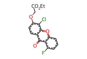 CCOC(=O)COc1ccc2c(=O)c3c(F)cccc3oc2c1Cl